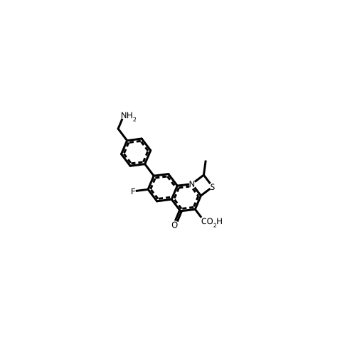 CC1Sc2c(C(=O)O)c(=O)c3cc(F)c(-c4ccc(CN)cc4)cc3n21